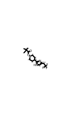 CC(C)(C)C(=O)ON1CCC(c2nc(CC(F)(F)F)c[nH]2)CC1